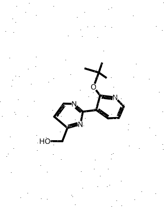 CC(C)(C)Oc1ncccc1-c1nccc(CO)n1